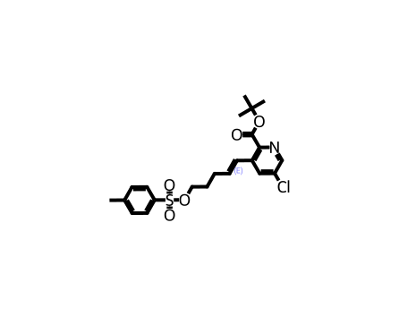 Cc1ccc(S(=O)(=O)OCCC/C=C/c2cc(Cl)cnc2C(=O)OC(C)(C)C)cc1